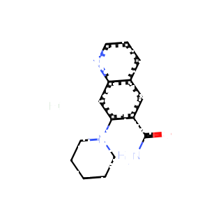 Cl.NC(=O)c1cc2cccnc2cc1N1CCCCC1